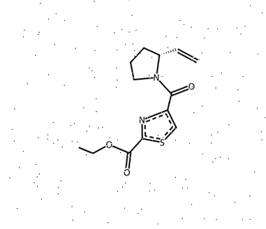 C=C[C@H]1CCCN1C(=O)c1csc(C(=O)OCC)n1